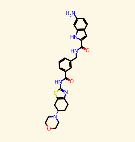 Nc1ccc2cc(C(=O)NCc3cccc(C(=O)Nc4nc5c(s4)C[C@@H](N4CCOCC4)CC5)c3)[nH]c2c1